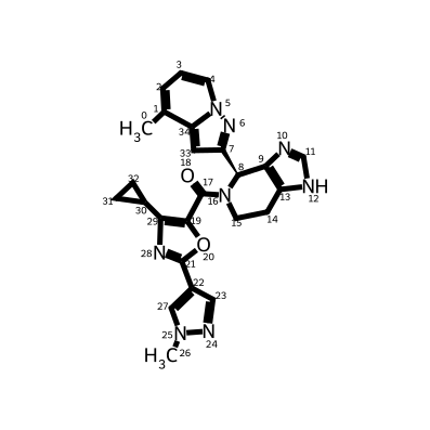 Cc1cccn2nc([C@H]3c4nc[nH]c4CCN3C(=O)c3oc(-c4cnn(C)c4)nc3C3CC3)cc12